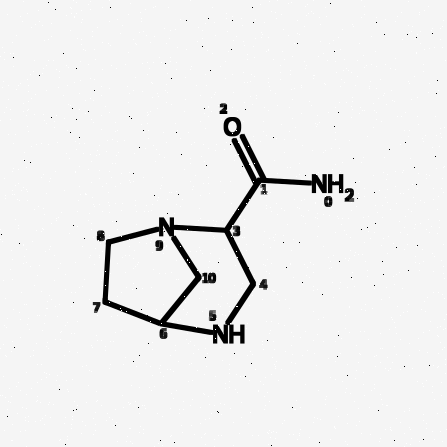 NC(=O)C1CNC2CCN1C2